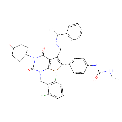 CONC(=O)Nc1ccc(-c2sc3c(c2CNC(C)c2ccccc2)c(=O)n(C2CCC(O)CC2)c(=O)n3Cc2c(F)cccc2F)cc1